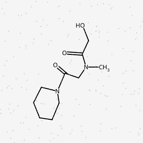 CN(CC(=O)N1CCCCC1)C(=O)CO